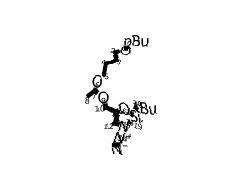 CCCCOCCCCOC(C)OCC(CN=[N+]=[N-])O[Si](C)(C)C(C)(C)C